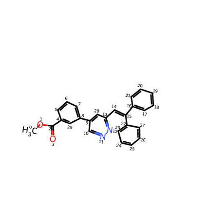 COC(=O)c1cccc(-c2cnnc(C=C(c3ccccc3)c3ccccc3)c2)c1